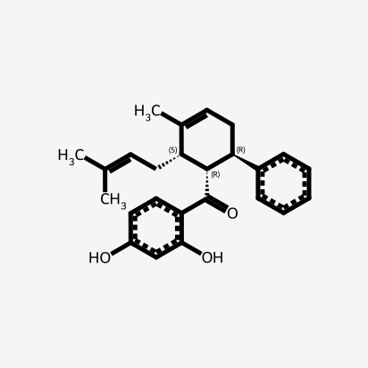 CC(C)=CC[C@@H]1C(C)=CC[C@@H](c2ccccc2)[C@@H]1C(=O)c1ccc(O)cc1O